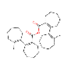 CC1=C(C2=C(C(=O)OC(=O)C3=C(C4=C(C)CCCCC4)CCCCC3)CCCCC2)CCCCC1